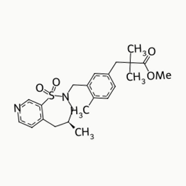 COC(=O)C(C)(C)Cc1ccc(C)c(CN2C[C@@H](C)Cc3ccncc3S2(=O)=O)c1